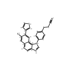 N#CCCc1ccc(-n2cnc3cnc4cc(F)c(-c5ccsc5)cc4c32)cc1